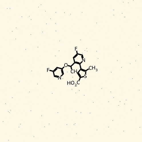 Cc1sc(C(=O)O)cc1-c1ncc(F)cc1C(C)Oc1cncc(F)c1